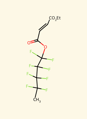 CCOC(=O)/C=C/C(=O)OC(F)(F)C(F)(F)C(F)(F)C(C)(F)F